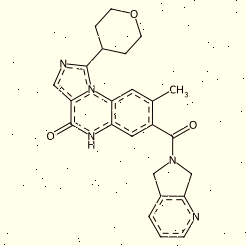 Cc1cc2c(cc1C(=O)N1Cc3cccnc3C1)[nH]c(=O)c1cnc(C3CCOCC3)n12